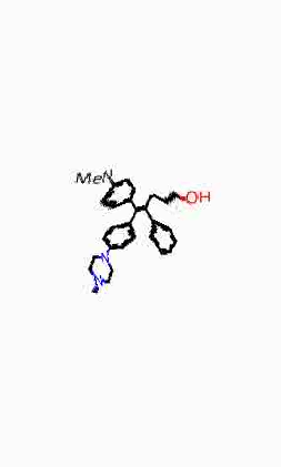 CNc1ccc(/C(=C(\CCCO)c2ccccc2)c2ccc(N3CCN(C)CC3)cc2)cc1